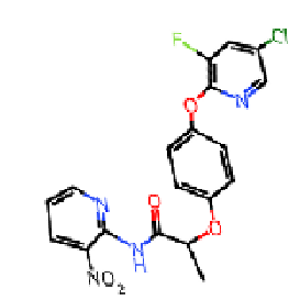 CC(Oc1ccc(Oc2ncc(Cl)cc2F)cc1)C(=O)Nc1ncccc1[N+](=O)[O-]